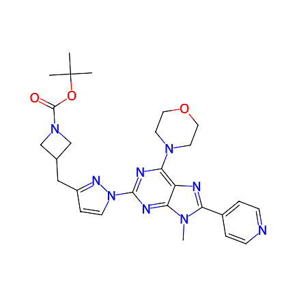 Cn1c(-c2ccncc2)nc2c(N3CCOCC3)nc(-n3ccc(CC4CN(C(=O)OC(C)(C)C)C4)n3)nc21